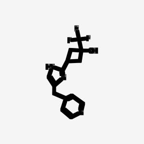 OC1(C(F)(F)F)CC(c2nc(Cc3ccncc3)c[nH]2)C1